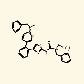 CN(Cc1ccccc1)c1ccc(-c2ccccc2-c2csc(N(C)C(=O)[C@@H](CC(=O)O)Cc3ccccc3)n2)cn1